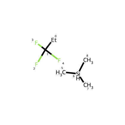 CCC(F)(F)F.C[SiH](C)C